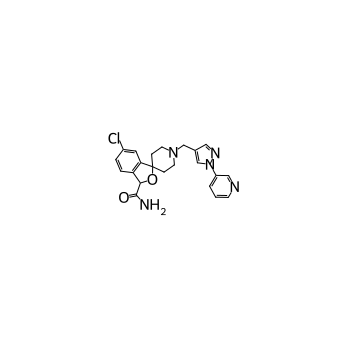 NC(=O)C1OC2(CCN(Cc3cnn(-c4cccnc4)c3)CC2)c2cc(Cl)ccc21